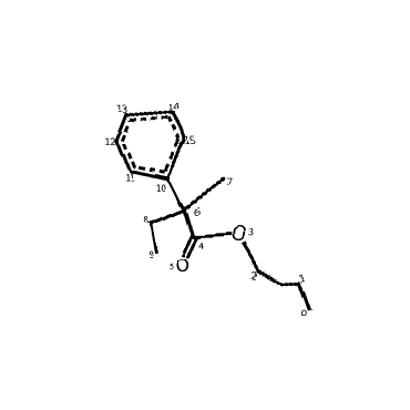 CCCOC(=O)C(C)(CC)c1ccccc1